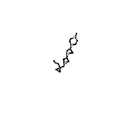 CCCC1(CN2CC(N3CC(N4CCN(C)CC4)C3)C2)CC1